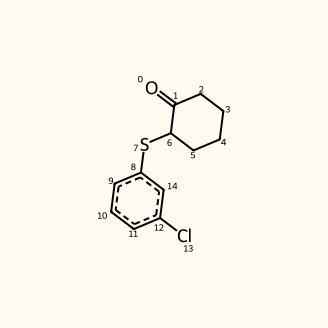 O=C1CCCCC1Sc1cccc(Cl)c1